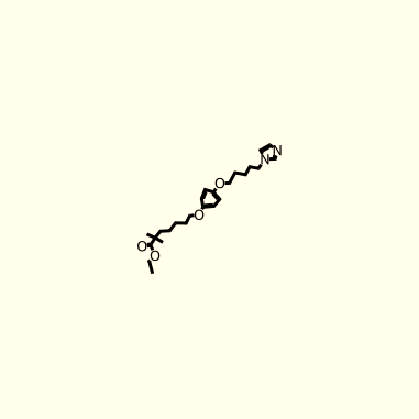 CCOC(=O)C(C)(C)CCCCCOc1ccc(OCCCCCn2ccnc2)cc1